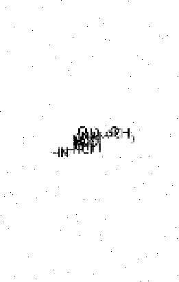 COc1ccc(CCNC(=O)[C@H](CNC(=O)[C@@H]2CCCN(C(=O)CCC3CCNCC3)C2)C(=O)O)cc1.Cl